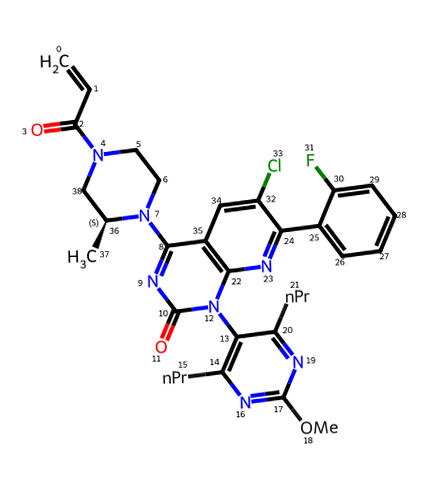 C=CC(=O)N1CCN(c2nc(=O)n(-c3c(CCC)nc(OC)nc3CCC)c3nc(-c4ccccc4F)c(Cl)cc23)[C@@H](C)C1